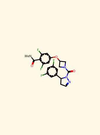 CNC(=O)c1c(F)cc(OC2CN(C(=O)N3N=CCC3c3cc(F)cc(F)c3)C2)cc1F